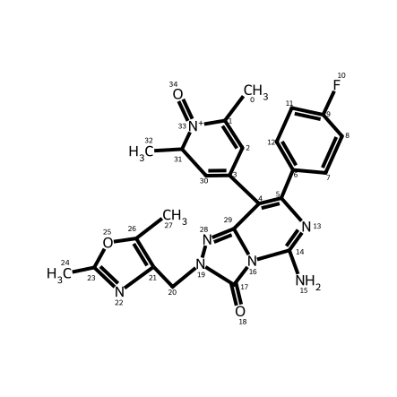 CC1=CC(c2c(-c3ccc(F)cc3)nc(N)n3c(=O)n(Cc4nc(C)oc4C)nc23)=CC(C)[N+]1=O